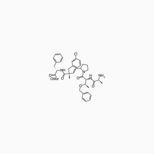 COC(=O)[C@H](Cc1ccccc1)NC(=O)[C@@](C)(/C=C/C1CCCN1C(=O)[C@@H](NC(=O)[C@H](C)N)[C@@H](C)OCc1ccccc1)Cc1cccc(Cl)c1